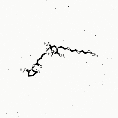 C=C1CCC(=O)N1OC(=O)CCCSSC(C)(C)CN(CCOCCOCCOC)C(C)C